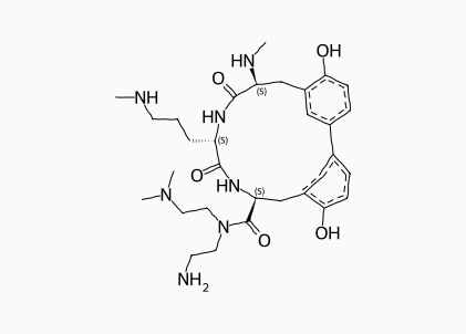 CNCCC[C@@H]1NC(=O)[C@@H](NC)Cc2cc(ccc2O)-c2ccc(O)c(c2)C[C@@H](C(=O)N(CCN)CCN(C)C)NC1=O